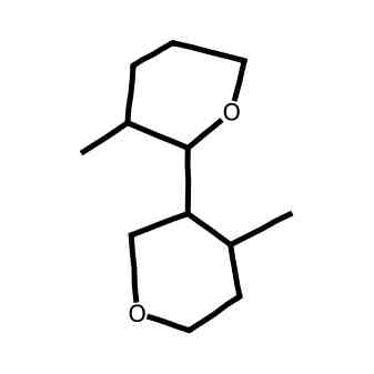 CC1CCOCC1C1OCCCC1C